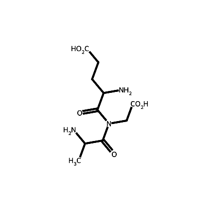 CC(N)C(=O)N(CC(=O)O)C(=O)C(N)CCC(=O)O